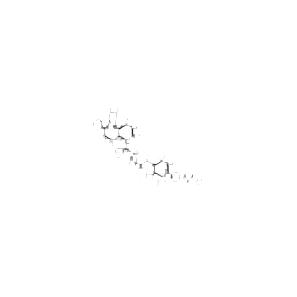 COc1ccc(CC(C)N=CC(=O)c2cccc3[nH]c(=O)ccc23)cc1